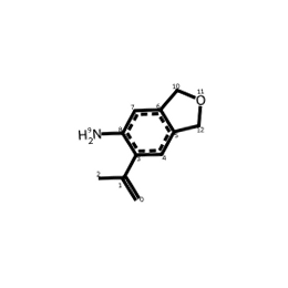 C=C(C)c1cc2c(cc1N)COC2